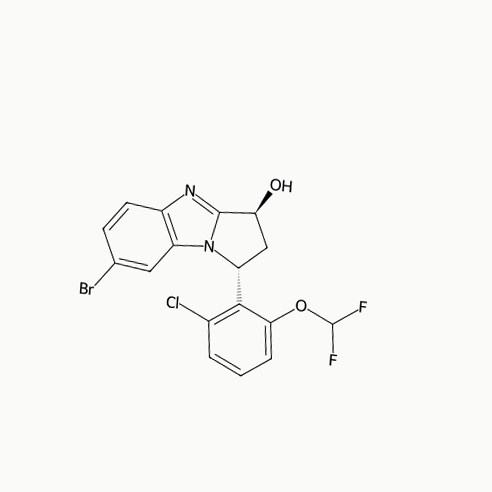 O[C@H]1C[C@H](c2c(Cl)cccc2OC(F)F)n2c1nc1ccc(Br)cc12